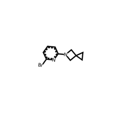 Brc1cccc(N2CC3(CC3)C2)n1